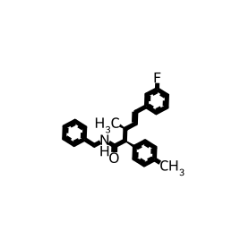 Cc1ccc([C@@H](C(=O)NCc2ccccc2)[C@@H](C)/C=C/c2cccc(F)c2)cc1